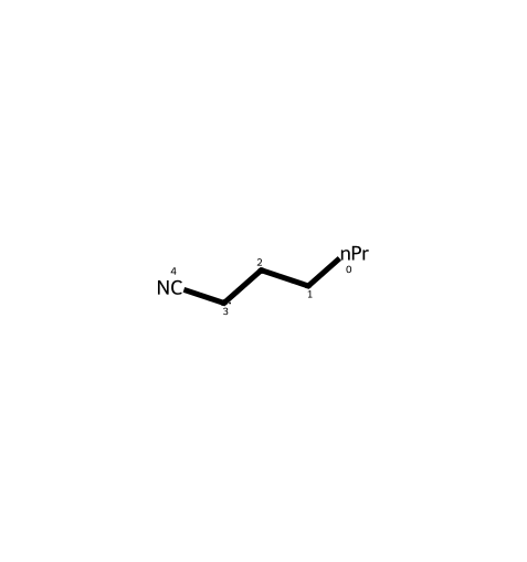 CCCCC[CH]C#N